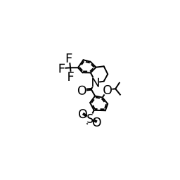 CC(C)Oc1ccc(S(C)(=O)=O)cc1C(=O)N1CCCc2ccc(C(F)(F)F)cc21